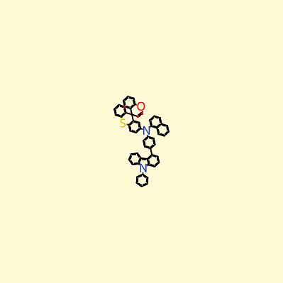 c1ccc(-n2c3ccccc3c3c(-c4ccc(N(c5ccc6c(c5)C5(c7ccccc7Oc7ccccc75)c5ccccc5S6)c5cccc6ccccc56)cc4)cccc32)cc1